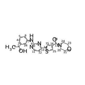 CC(O)c1cccc(Nc2nccc(-c3cc(C(=O)N4CCOCC4)cs3)n2)c1